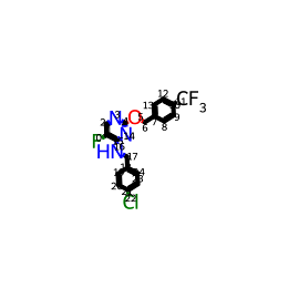 Fc1cnc(OCc2ccc(C(F)(F)F)cc2)nc1NCc1ccc(Cl)cc1